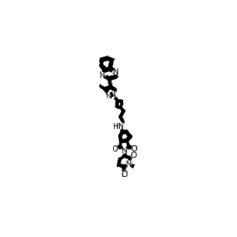 Cc1nn(C2CC(CCCNc3ccc4c(c3)C(=O)N(C3CCC(=O)N(C)C3=O)C4=O)C2)cc1-c1cnc2ccccc2n1